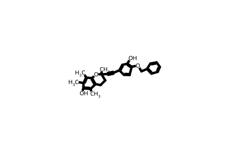 Cc1c(C)c2c(c(C)c1O)CCC(C)(C#Cc1ccc(OCc3ccccc3)c(O)c1)O2